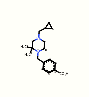 CC1(C)CN(CC2CC2)CCN1Cc1ccc(C(=O)O)cc1